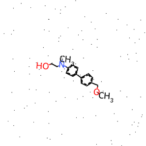 COCc1ccc(-c2ccc(N(C)CCO)cc2)cc1